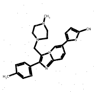 Cc1ccc(-c2nc3ccc(-c4ccc(C#N)s4)cn3c2CN2CCN(C)CC2)cc1